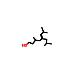 CC(C)C=C(CC(C)C)CC(C)CCO